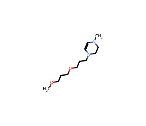 COCCCOCCCN1C=CN(C)CC1